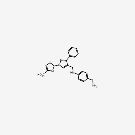 NSc1ccc(NCc2cn(C3NC(C(=O)O)=CS3)nc2-c2ccccc2)cc1